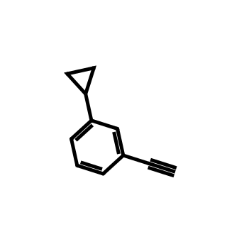 C#Cc1cccc(C2CC2)c1